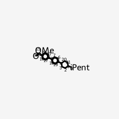 CCCC(C)C1CCC(c2ccc(-c3ccc(C(=O)OC)cc3)cc2)CC1